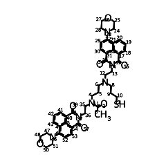 CC(=O)N(CCCN(CCCS)CCN1C(=O)c2cccc3c(N4CCOCC4)ccc(c23)C1=O)CCN1C(=O)c2cccc3c(N4CCOCC4)ccc(c23)C1=O